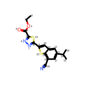 CCOC(=O)c1nnc(-c2cc3cc(C(C)C)cc(C#N)c3s2)s1